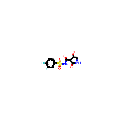 O=C1NCC(O)C1C(=O)NS(=O)(=O)c1ccc(F)c(F)c1